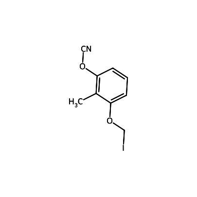 Cc1c(OC#N)cccc1OCI